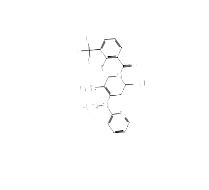 CC1CC(N(N)c2ccccn2)=C(N)CN1C(=O)c1cccc(C(F)(F)F)c1Cl